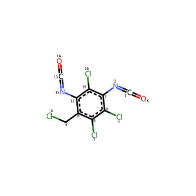 O=C=Nc1c(Cl)c(Cl)c(CCl)c(N=C=O)c1Cl